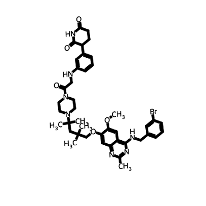 COc1cc2c(NCc3cccc(Br)c3)nc(C)nc2cc1OCC(C)(C)CC(C)(C)N1CCN(C(=O)CNc2cccc(C3CCC(=O)NC3=O)c2)CC1